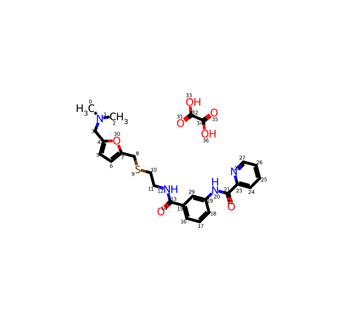 CN(C)Cc1ccc(CSCCNC(=O)c2cccc(NC(=O)c3ccccn3)c2)o1.O=C(O)C(=O)O